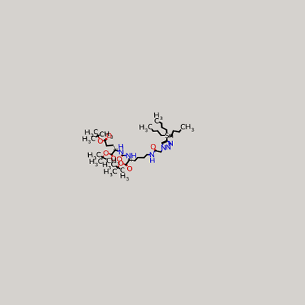 CCC[CH2][Sn]([CH2]CCC)([CH2]CCC)[c]1cn(CC(=O)NCCCC[C@H](NC(=O)N[C@@H](CCC(=O)OC(C)(C)C)C(=O)OC(C)(C)C)C(=O)OC(C)(C)C)nn1